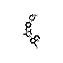 CC1CN(c2ccc(C#N)c3ncccc23)CC(C)N1Cc1ccc(N2CCNCC2)cc1